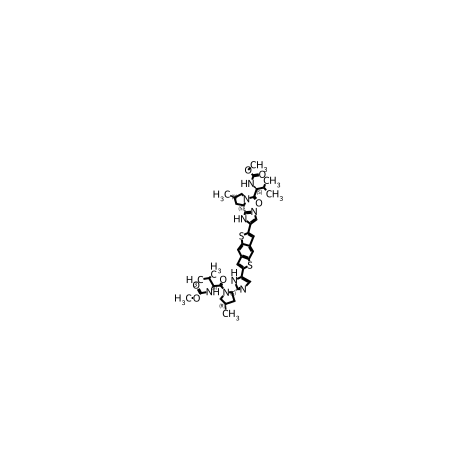 COC(=O)N[C@H](C(=O)N1C[C@H](C)C[C@H]1c1ncc(-c2cc3cc4sc(-c5cnc([C@@H]6C[C@@H](C)CN6C(=O)[C@@H](NC(=O)OC)C(C)C)[nH]5)cc4cc3s2)[nH]1)C(C)C